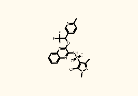 Cc1ccc(C(Oc2nc3ccccc3nc2NS(=O)(=O)c2c(C)nn(C)c2Cl)C(F)(F)F)cn1